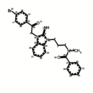 CN(CCCn1c(=N)n(CC(=O)c2ccc(Br)cc2)c2ccccc21)C(=O)c1ccccc1